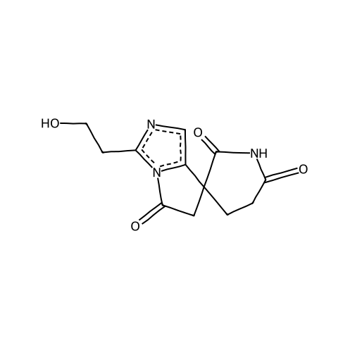 O=C1CCC2(CC(=O)n3c2cnc3CCO)C(=O)N1